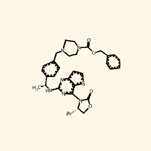 CC(C)[C@H]1COC(=O)N1c1nc(N[C@@H](C)c2ccc(CN3CCN(C(=O)OCc4ccccc4)CC3)cc2)nc2ccsc12